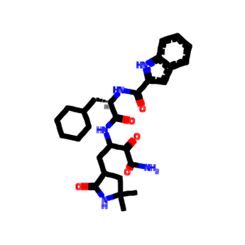 CC1(C)CC(CC(NC(=O)[C@H](CC2CCCCC2)NC(=O)c2cc3ccccc3[nH]2)C(=O)C(N)=O)C(=O)N1